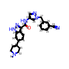 CN1CC=C(c2ccc3c(C(=O)Nc4cnn(Cc5cccc(C#N)c5)c4)n[nH]c3c2)CC1